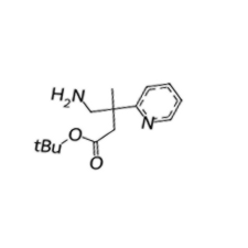 CC(C)(C)OC(=O)CC(C)(CN)c1ccccn1